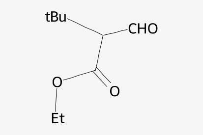 CCOC(=O)C(C=O)C(C)(C)C